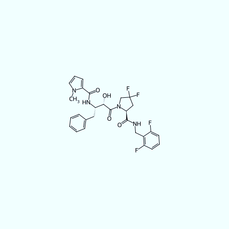 Cn1cccc1C(=O)N[C@@H](Cc1ccccc1)[C@H](O)C(=O)N1CC(F)(F)C[C@H]1C(=O)NCc1c(F)cccc1F